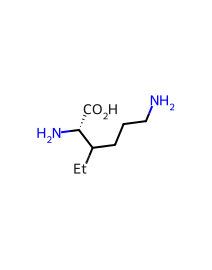 CCC(CCCN)[C@H](N)C(=O)O